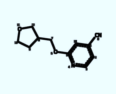 N#Cc1ccnc(OCC2CCOC2)c1